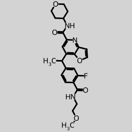 COCCNC(=O)c1ccc(C(C)c2cc(C(=O)NC3CCOCC3)nc3ccoc23)cc1F